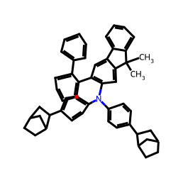 CC1(C)c2ccccc2-c2cc(-c3ccccc3-c3ccccc3)c(N(c3ccc(C4CC5CCC4C5)cc3)c3ccc(C4CC5CCC4C5)cc3)cc21